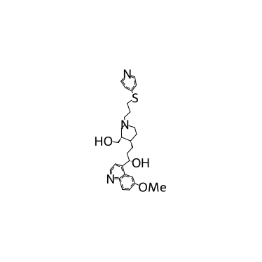 COc1ccc2nccc([C@@H](O)CC[C@@H]3CCN(CCCSc4ccncc4)C[C@@H]3CO)c2c1